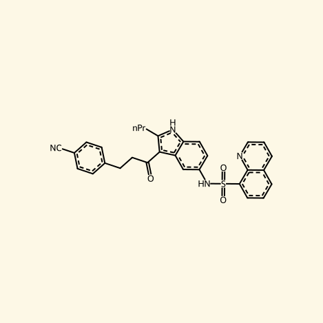 CCCc1[nH]c2ccc(NS(=O)(=O)c3cccc4cccnc34)cc2c1C(=O)CCc1ccc(C#N)cc1